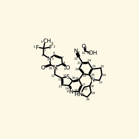 CC(F)(F)Cn1ccc(=O)n(Cc2cc3nccc(-c4cc(C#N)cc5c4N(C4CCNC4)CCC5)c3s2)c1=O.O=CO